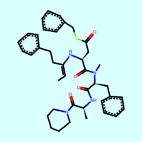 CC=C(CCc1ccccc1)N[C@@H](CC(=O)SCc1ccccc1)C(=O)N(C)[C@@H](Cc1ccccc1)C(=O)N[C@@H](C)C(=O)N1CCCCC1